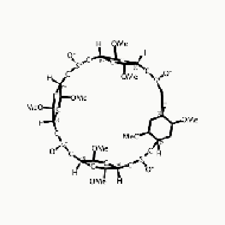 COC1C[C@@H]2C[S+]([O-])C[C@H]3CC(OC)[C@H](CC3OC)C[S@+]([O-])C[C@H]3CC(OC)[C@H](CC3OC)C[S@+]([O-])C[C@H]3CC(OC)[C@H](CC3OC)C[S+]([O-])C[C@H]1CC2OC